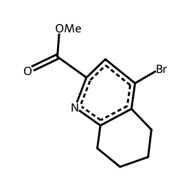 COC(=O)c1cc(Br)c2c(n1)CCCC2